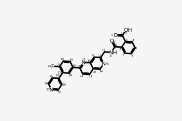 O=C(O)c1ccccc1C(=O)NCc1cc2nc(-c3ccc(F)c(-c4ccncc4)c3)ccc2cn1